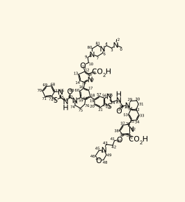 CN(C)CCN1CCN(CCOc2ccc(-c3cc(-c4ccc5sc(NC(=O)N6CCCc7ccc(-c8ccc(OCCCN9CCOCC9)c(C(=O)O)n8)cc76)nc5c4)c4c(c3)N(C(=O)Nc3nc5ccccc5s3)CCC4)nc2C(=O)O)CC1